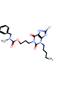 CCCCCn1c(=O)n(CCCOC(=O)N(C)Cc2ccccc2)c(=O)c2[nH]c(Cl)nc21